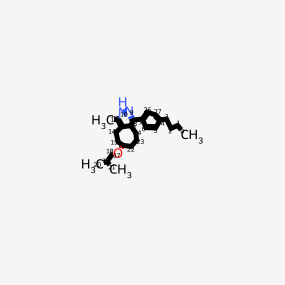 CCCCc1ccc(C2=NNC(C)=C3CCC(OCC(C)C)CCCC23)cc1